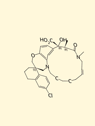 C[C@H]1C(=O)N(C)CC=CCCCCCN2C[C@@]3(CCCc4cc(Cl)ccc43)COc3ccc(cc32)[C@@]1(O)C(=O)O